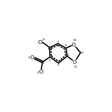 O=C(Cl)c1cc2c(cc1Cl)OCO2